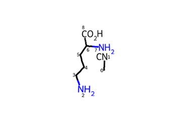 CC#N.NCCCC(N)C(=O)O